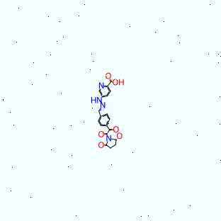 O=C(C(=O)N1C(=O)CCC1=O)c1ccc(/C=N/Nc2ccc(C(=O)O)nc2)cc1